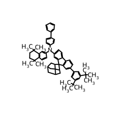 CC(C)(C)c1cc(-c2ccc3c(c2)C2(c4cc(N(c5ccc(-c6ccccc6)cc5)c5ccc6c(c5)C(C)(C)CCC6(C)C)ccc4-3)C3CC4CC5CC2C53C4)cc(C(C)(C)C)c1